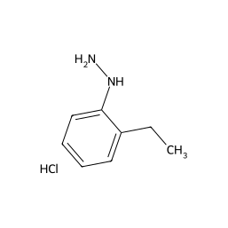 CCc1ccccc1NN.Cl